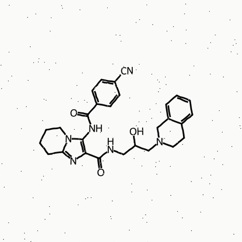 N#Cc1ccc(C(=O)Nc2c(C(=O)NCC(O)CN3CCc4ccccc4C3)nc3n2CCCC3)cc1